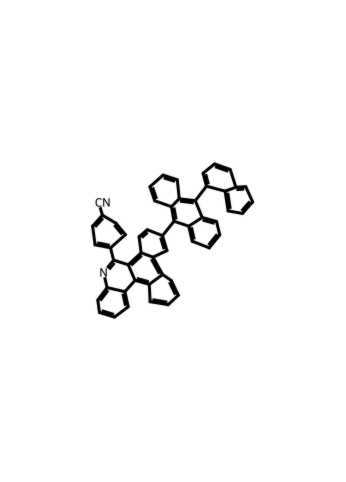 N#Cc1ccc(-c2nc3ccccc3c3c4ccccc4c4cc(-c5c6ccccc6c(-c6cccc7ccccc67)c6ccccc56)ccc4c23)cc1